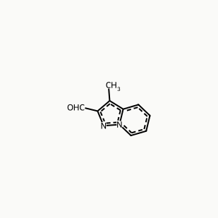 Cc1c(C=O)nn2ccccc12